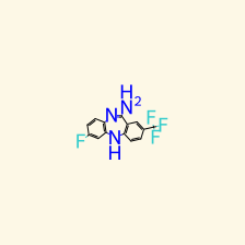 NC1=Nc2ccc(F)cc2Nc2ccc(C(F)(F)F)cc21